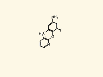 Cc1cc(N)cc(F)c1Oc1ncccn1